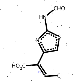 O=CNc1nc(/C(=C\Cl)C(=O)O)cs1